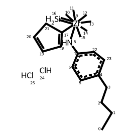 CCCCc1ccc([NH][Zr]([CH3])([CH3])([CH3])([CH3])([CH3])([CH3])(=[SiH2])[C]2=CC=CC2)cc1.Cl.Cl